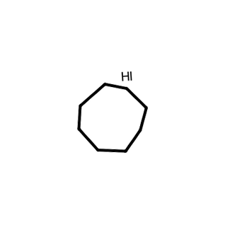 C1CCCCCCC1.I